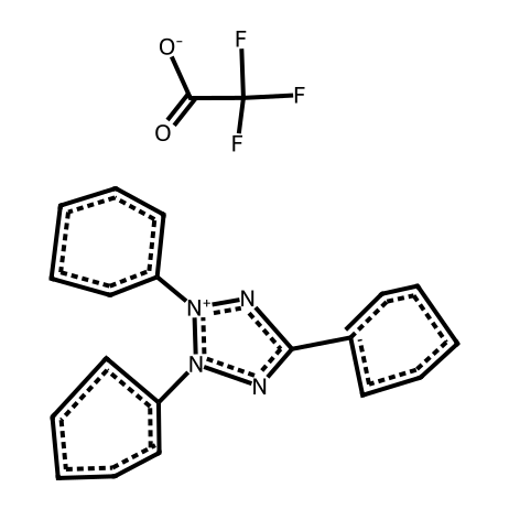 O=C([O-])C(F)(F)F.c1ccc(-c2nn(-c3ccccc3)[n+](-c3ccccc3)n2)cc1